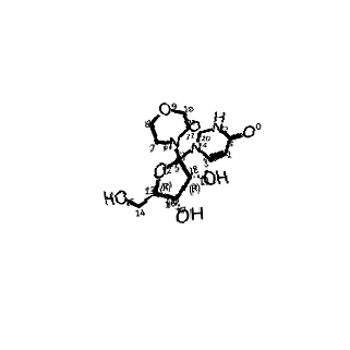 O=c1ccn([C@]2(N3CCOCC3)O[C@H](CO)[C@@H](O)[C@H]2O)c(=O)[nH]1